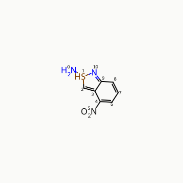 N[SH]1C=c2c([N+](=O)[O-])cccc2=N1